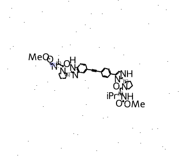 COO/C=N\[C@@H](C)C(=O)N1CCC[C@H]1c1nc2cc(C#Cc3ccc(-c4c[nH]c([C@@H]5CCCN5C(=O)[C@@H](NC(=O)OC)C(C)C)n4)cc3)ccc2[nH]1